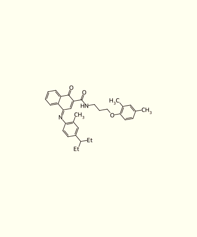 CCC(CC)c1ccc(N=C2C=C(C(=O)NCCCOc3ccc(C)cc3C)C(=O)c3ccccc32)c(C)c1